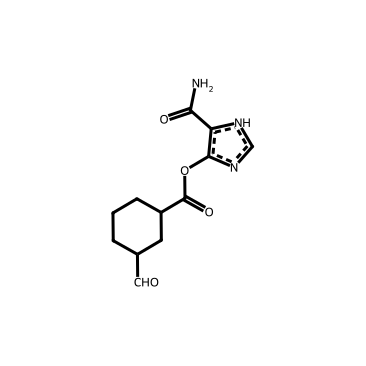 NC(=O)c1[nH]cnc1OC(=O)C1CCCC(C=O)C1